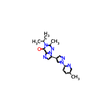 Cc1ccc(-n2cc(-c3cnc4c(=O)n(C(C)C)c(C)nn34)cn2)nc1